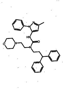 Cc1cc(NC(=O)N(CCC(c2ccccc2)c2ccccc2)CCN2CCOCC2)n(-c2ccccc2)n1